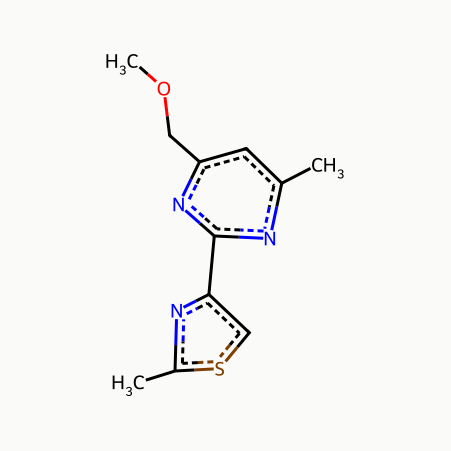 COCc1cc(C)nc(-c2csc(C)n2)n1